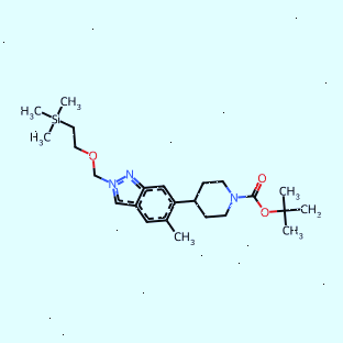 Cc1cc2cn(COCC[Si](C)(C)C)nc2cc1C1CCN(C(=O)OC(C)(C)C)CC1